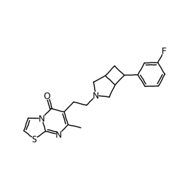 Cc1nc2sccn2c(=O)c1CCN1CC2CC(c3cccc(F)c3)C2C1